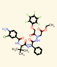 CCOC(=O)CN(NC(=O)[C@H](NC(=O)[C@@H](NC(=O)c1ccc(N)c(Cl)c1)C(C)(C)C)c1ccccc1)C(=O)COc1c(F)c(F)c(F)c(F)c1F